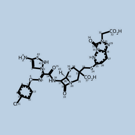 NC1=CN(C(=NOc2ccc(Cl)cc2)C(=O)NC2C(=O)N3CC(CSc4ccc5nn(CC(=O)O)c(=O)n5n4)(C(=O)O)CS[C@H]23)NS1